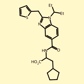 CCC(CC)n1c(Cc2cccs2)nc2cc(C(=O)NC(CC3CCCC3)C(=O)O)ccc21